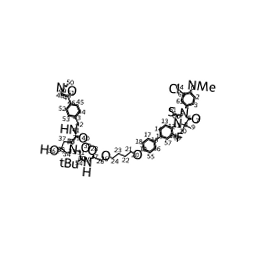 CNc1ccc(N2C(=O)C(C)(C)N(c3ccc(-c4ccc(OCCCCOCC(=O)N[C@H](C(=O)N5C[C@H](O)C[C@H]5C(=O)NCc5ccc(-c6cnco6)cc5)C(C)(C)C)cc4)cc3F)C2=S)cc1Cl